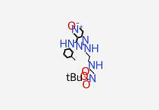 Cc1cccc(Nc2nc(NCCCNC(=O)CN(C)C(=O)OC(C)(C)C)nc3cc[n+]([O-])cc23)c1